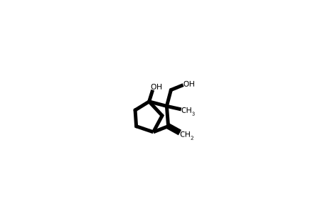 C=C1C2CCC(O)(C2)C1(C)CO